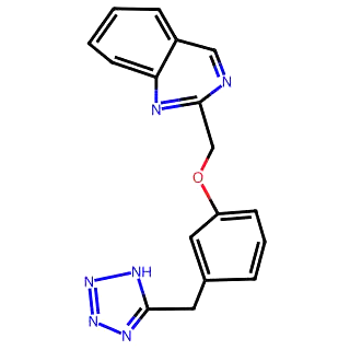 c1cc(Cc2nnn[nH]2)cc(OCc2ncc3ccccc3n2)c1